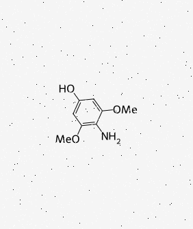 COc1cc(O)cc(OC)c1N